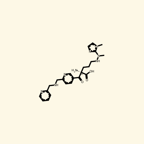 CN(NCCC[C@@](N)(C(=O)O)C(=O)c1ccc(CNCc2ccccn2)nc1)c1nccn1C